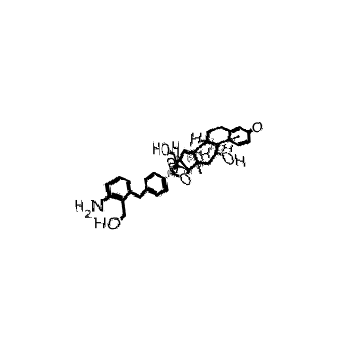 C[C@]12C=CC(=O)C=C1CC[C@@H]1[C@@H]2[C@@H](O)C[C@@]2(C)[C@H]1C[C@H]1O[C@@H](c3ccc(Cc4cccc(N)c4CO)cc3)O[C@]12C(=O)CO